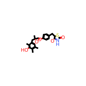 Cc1c(C)c2c(c(C)c1O)CC(C)(COc1ccc(CC3SC(=O)NC3=O)cc1)O2